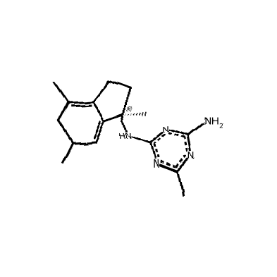 CC1=C2CC[C@@](C)(Nc3nc(C)nc(N)n3)C2=CC(C)C1